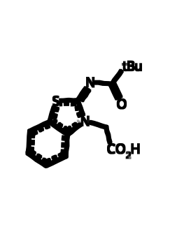 CC(C)(C)C(=O)N=c1sc2ccccc2n1CC(=O)O